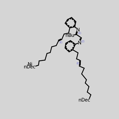 CCCCCCCCCCCCCCCCC/C=C/CCc1ccccc1/N=C\C(CCCC)=N\c1ccccc1CC/C=C/CCCCCCCCCCCCCCCCC.[Ni]